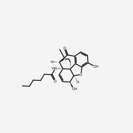 CCCCCC(=O)N[C@@]12C=C[C@H](O)[C@@H]3Oc4c(O)ccc5c4[C@@]31CCN(C)[C@@H]2C5=O